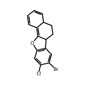 Clc1cc2c(cc1Br)C1CCC3C=CC=CC3=C1O2